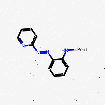 CCCCCNc1ccccc1N=Nc1ccccn1